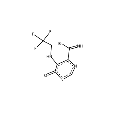 N=C(Br)c1nc[nH]c(=O)c1NCC(F)(F)F